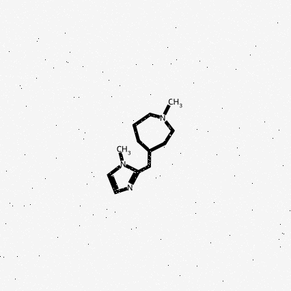 CN1CCCC(Cc2nccn2C)CC1